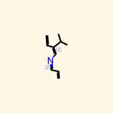 C=C/C=N\C=C(/C=C)C(C)C